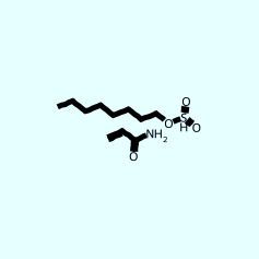 C=CC(N)=O.CCCCCCCCO[SH](=O)=O